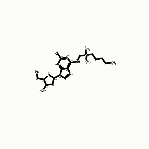 CCCCC[Si](C)(C)CNc1nc(Cl)nc2c1ncn2C1CC(O)C(CO)O1